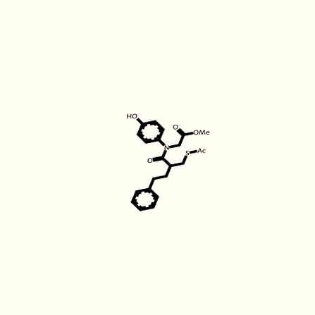 COC(=O)CN(C(=O)C(CCc1ccccc1)CSC(C)=O)c1ccc(O)cc1